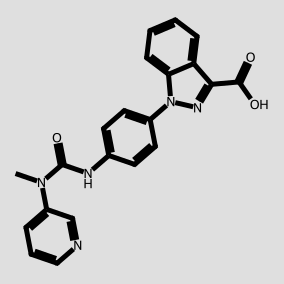 CN(C(=O)Nc1ccc(-n2nc(C(=O)O)c3ccccc32)cc1)c1cccnc1